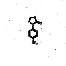 Nc1ccc(N2CCOC2=O)nc1